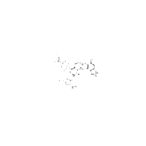 C=CC(=O)N1CCN(c2nc(O[C@@H]3CN(C)C[C@H]3C(F)F)nc3c(Oc4c(Cl)c(F)cc5[nH]ncc45)nccc23)CC1